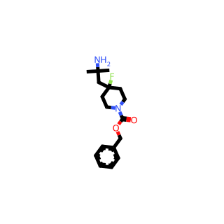 CC(C)(N)CC1(F)CCN(C(=O)OCc2ccccc2)CC1